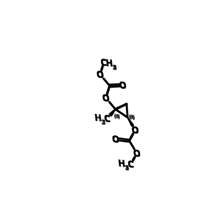 COC(=O)O[C@@H]1C[C@@]1(C)OC(=O)OC